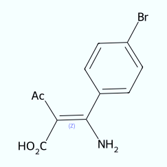 CC(=O)/C(C(=O)O)=C(/N)c1ccc(Br)cc1